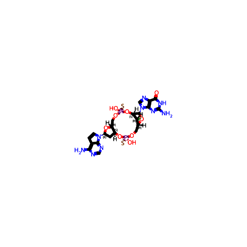 Nc1nc2c(ncn2[C@@H]2O[C@@H]3COP(O)(=S)O[C@H]4C[C@H](n5ccc6c(N)ncnc65)O[C@@H]4COP(O)(=S)O[C@@H]2[C@@H]3F)c(=O)[nH]1